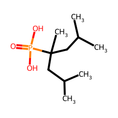 CC(C)CC(C)(CC(C)C)P(=O)(O)O